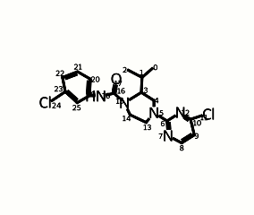 CC(C)C1CN(c2nccc(Cl)n2)CCN1C(=O)Nc1cccc(Cl)c1